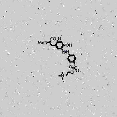 CNC(Cc1ccc(O)c(/N=N/c2ccc(OP(=O)([O-])OCC[N+](C)(C)C)cc2)c1)C(=O)O